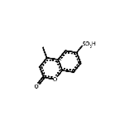 Cc1cc(=O)oc2ccc(S(=O)(=O)O)cc12